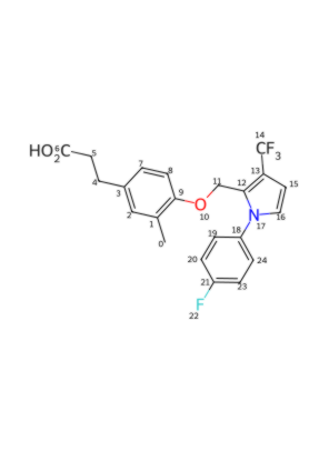 Cc1cc(CCC(=O)O)ccc1OCc1c(C(F)(F)F)ccn1-c1ccc(F)cc1